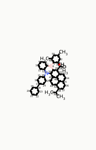 Cc1cc(C)c(B2c3ccccc3N(c3ccc(-c4ccccc4)cc3)c3c2c(C(C)C)c2ccc4ccc(C(C)C)c5ccc3c2c45)c(C)c1